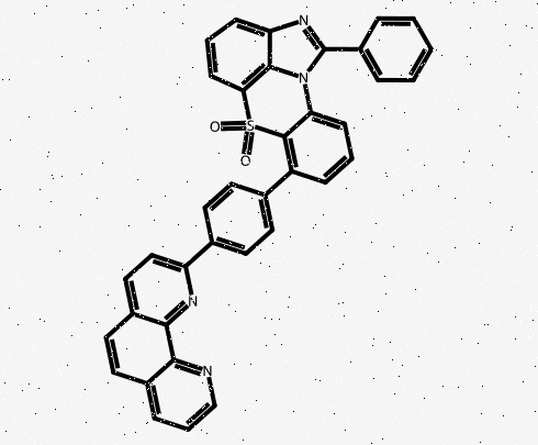 O=S1(=O)c2c(-c3ccc(-c4ccc5ccc6cccnc6c5n4)cc3)cccc2-n2c(-c3ccccc3)nc3cccc1c32